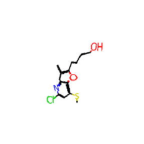 CSc1cc(Cl)nc2c(C)c(CCCCO)oc12